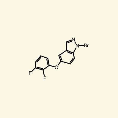 Fc1cccc(Oc2ccc3c(cnn3Br)c2)c1F